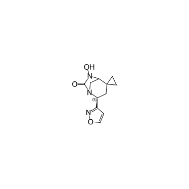 O=C1N(O)C2CN1[C@H](c1ccon1)CC21CC1